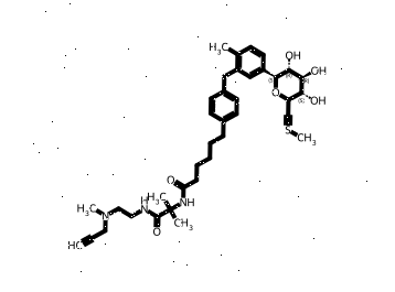 C#CCN(C)CCNC(=O)C(C)(C)NC(=O)CCCCCc1ccc(Cc2cc([C@@H]3OC(C#SC)[C@@H](O)[C@H](O)[C@H]3O)ccc2C)cc1